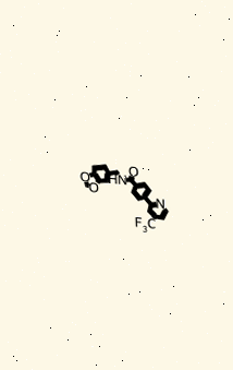 O=C(NCc1ccc2c(c1)OCO2)c1ccc(-c2cc(C(F)(F)F)ccn2)cc1